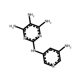 Nc1cncc(Nc2nc(N)c(N)c(N)n2)c1